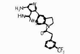 N=C(N)c1c(N)cncc1-c1ccc2c(c1)CCN2C(=O)Cc1cccc(C(F)(F)F)c1